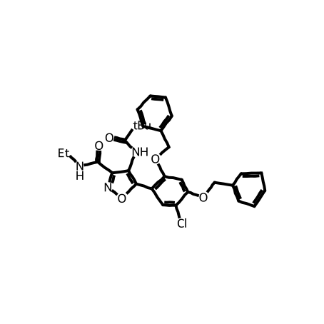 CCNC(=O)c1noc(-c2cc(Cl)c(OCc3ccccc3)cc2OCc2ccccc2)c1NC(=O)C(C)(C)C